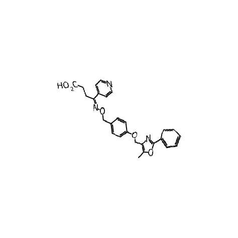 Cc1oc(-c2ccccc2)nc1COc1ccc(CON=C(CCC(=O)O)c2ccncc2)cc1